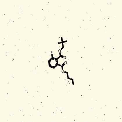 CCCCOC(=O)c1cccc(F)c1C(=O)OCC(C)(C)C